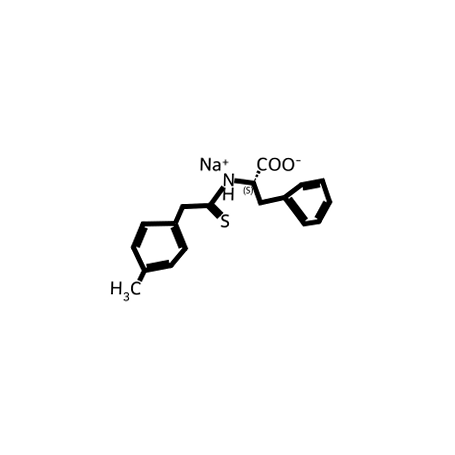 Cc1ccc(CC(=S)N[C@@H](Cc2ccccc2)C(=O)[O-])cc1.[Na+]